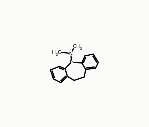 CN(C)P1c2ccccc2CCc2ccccc21